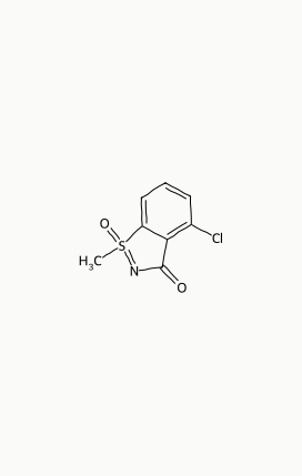 CS1(=O)=NC(=O)c2c(Cl)cccc21